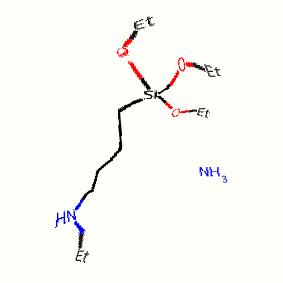 CCNCCCC[Si](OCC)(OCC)OCC.N